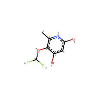 Cc1nc(Br)cc(Br)c1OC(F)F